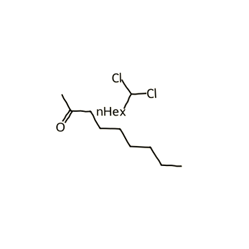 CCCCCCC(Cl)Cl.CCCCCCCC(C)=O